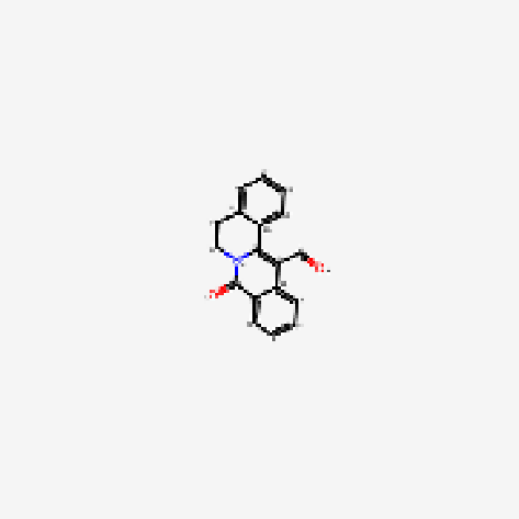 O=Cc1c2n(c(=O)c3ccccc13)CCc1ccccc1-2